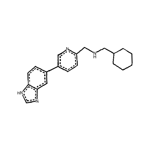 c1nc2cc(-c3ccc(CNCC4CCCCC4)nc3)ccc2[nH]1